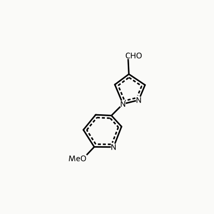 COc1ccc(-n2cc(C=O)cn2)cn1